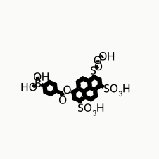 O=C(Oc1cc(S(=O)(=O)O)c2ccc3c(S(=O)(=O)O)cc(SOOO)c4ccc1c2c43)c1ccc(B(O)O)cc1